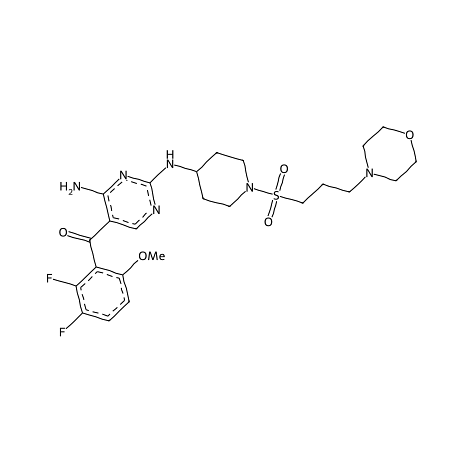 COc1ccc(F)c(F)c1C(=O)c1cnc(NC2CCN(S(=O)(=O)CCCN3CCOCC3)CC2)nc1N